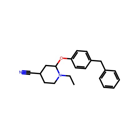 CCN1CCC(C#N)CC1Oc1ccc(Cc2ccccc2)cc1